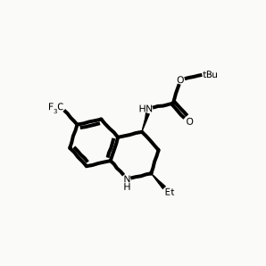 CC[C@@H]1C[C@H](NC(=O)OC(C)(C)C)c2cc(C(F)(F)F)ccc2N1